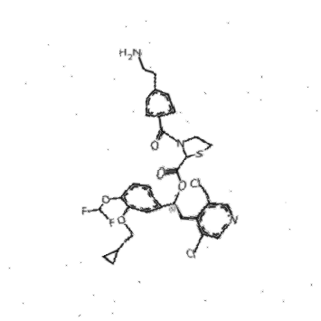 NCCc1ccc(C(=O)N2CCSC2C(=O)O[C@@H](Cc2c(Cl)cncc2Cl)c2ccc(OC(F)F)c(OCC3CC3)c2)cc1